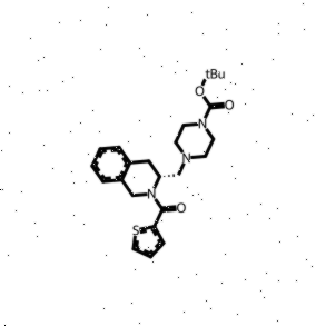 CC(C)(C)OC(=O)N1CCN(C[C@H]2Cc3ccccc3CN2C(=O)c2cccs2)CC1